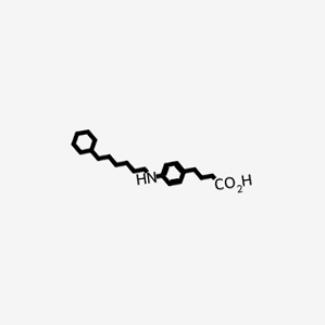 O=C(O)CCCc1ccc(NCCCCCCC2CCCCC2)cc1